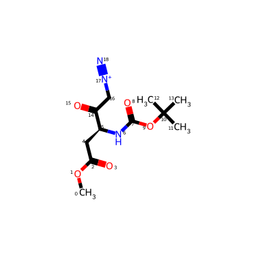 COC(=O)C[C@H](NC(=O)OC(C)(C)C)C(=O)C[N+]#N